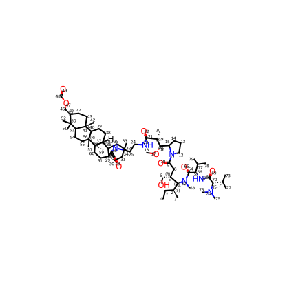 CC[C@H](C)[C@@H]([C@H](CO)CC(=O)N1CCCC1[C@H](OC)[C@@H](C)C(=O)NCCN1C(=O)[C@]23CCC(C)(C)C1C2[C@H]1CCC2[C@@]4(C)CC[C@H](COC=O)C(C)(C)C4CC[C@@]2(C)[C@]1(C)CC3)N(C)C(=O)[C@@H](NC(=O)[C@H](C(C)C)N(C)C)C(C)C